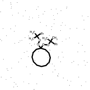 CC(C)C(C)(C)OOC1(OOC(C)(C)C(C)C)CCCCCCCCCCC1